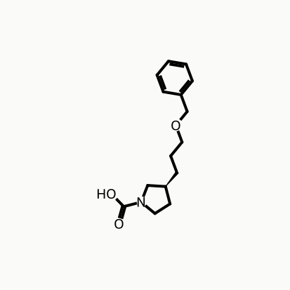 O=C(O)N1CC[C@H](CCCOCc2ccccc2)C1